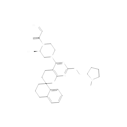 C=CC(=O)N1CCN(c2nc(OC[C@@H]3CCCN3C)nc3c2CCC2(CCCc4ccccc42)O3)C[C@H]1C